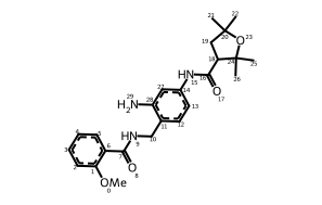 COc1ccccc1C(=O)NCc1ccc(NC(=O)C2CC(C)(C)OC2(C)C)cc1N